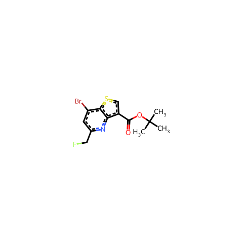 CC(C)(C)OC(=O)c1csc2c(Br)cc(CF)nc12